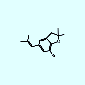 CC(C)=Cc1cc(Br)c2c(c1)CC(C)(C)O2